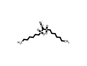 CCCCCCCS(=O)(=O)C(=[N+]=[N-])S(=O)(=O)CCCCCCC